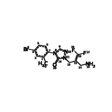 Cc1cc(Br)ccc1-n1cnn(CC(CN)=C(F)F)c1=O